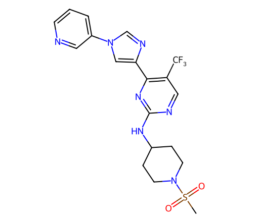 CS(=O)(=O)N1CCC(Nc2ncc(C(F)(F)F)c(-c3cn(-c4cccnc4)cn3)n2)CC1